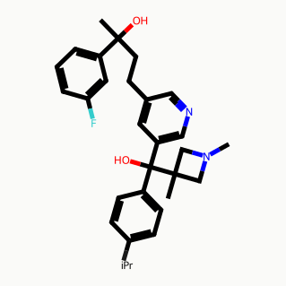 CC(C)c1ccc(C(O)(c2cncc(CCC(C)(O)c3cccc(F)c3)c2)C2(C)CN(C)C2)cc1